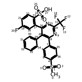 CS(=O)(=O)c1ccc(-c2nc(C(F)(F)F)nc(-c3cc(F)ccc3S(=O)(=O)O)c2-c2ccccc2)cc1